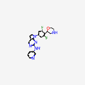 Fc1cc(-n2ccc3cnc(Nc4cccnc4)nc32)cc(F)c1C1CNCCO1